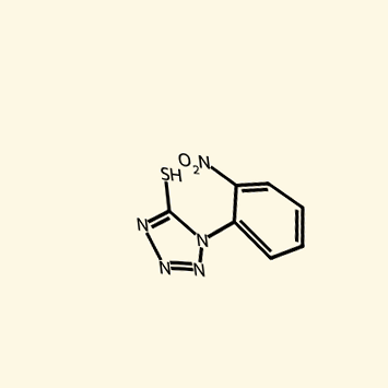 O=[N+]([O-])c1ccccc1-n1nnnc1S